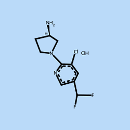 Cl.N[C@@H]1CCN(c2ncc(C(F)F)cc2Cl)C1